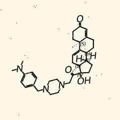 CN(C)c1ccc(CN2CCN(CC(=O)[C@@]3(O)CC[C@H]4[C@@H]5CCC6=CC(=O)CC[C@]6(C)C5=CC[C@@]43C)CC2)cc1